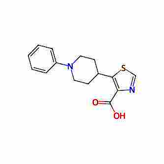 O=C(O)c1ncsc1C1CCN(c2ccccc2)CC1